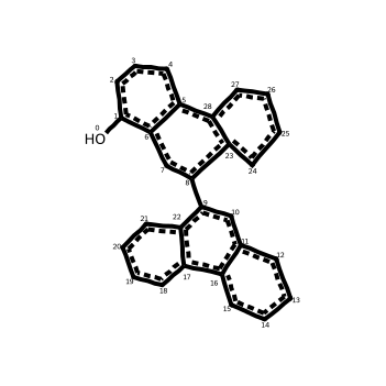 Oc1cccc2c1cc(-c1cc3ccccc3c3ccccc13)c1ccccc12